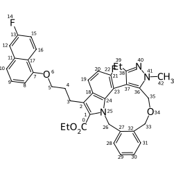 CCOC(=O)c1c(CCCOc2cccc3cc(F)ccc23)c2ccc(F)c3c2n1Cc1ccccc1COCc1c-3c(CC)nn1C